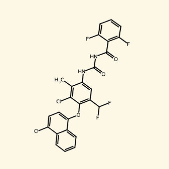 Cc1c(NC(=O)NC(=O)c2c(F)cccc2F)cc(C(F)F)c(Oc2ccc(Cl)c3ccccc23)c1Cl